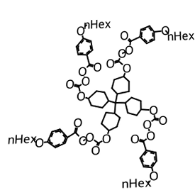 CCCCCCOc1ccc(C(=O)OOC(=O)OC2CCC(C(C3CCC(OC(=O)OOC(=O)c4ccc(OCCCCCC)cc4)CC3)(C3CCC(OC(=O)OOC(=O)c4ccc(OCCCCCC)cc4)CC3)C3CCC(OC(=O)OOC(=O)c4ccc(OCCCCCC)cc4)CC3)CC2)cc1